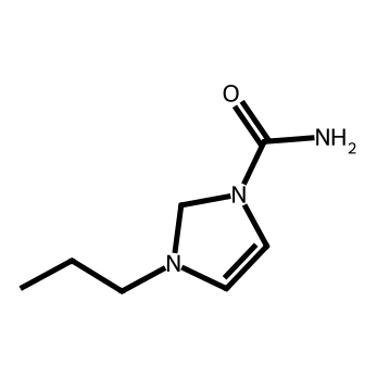 CCCN1C=CN(C(N)=O)C1